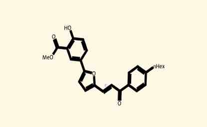 CCCCCCc1ccc(C(=O)/C=C/c2ccc(-c3ccc(O)c(C(=O)OC)c3)o2)cc1